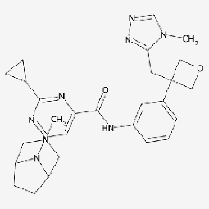 CN1CC2CCC(C1)N2c1cc(C(=O)Nc2cccc(C3(Cc4nncn4C)COC3)c2)nc(C2CC2)n1